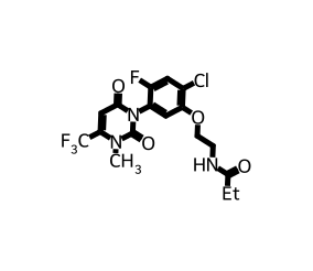 CCC(=O)NCCOc1cc(-n2c(=O)cc(C(F)(F)F)n(C)c2=O)c(F)cc1Cl